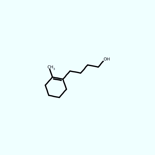 CC1=C(CCCCO)CCCC1